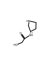 O=C(CO)N[C@H]1CCNC1